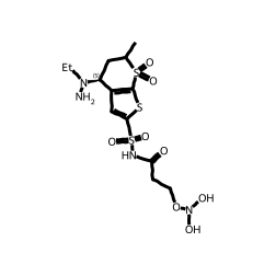 CCN(N)[C@H]1CC(C)S(=O)(=O)c2sc(S(=O)(=O)NC(=O)CCON(O)O)cc21